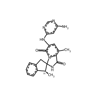 Cc1cc(Nc2cc(N)ncn2)c(=O)n2c1C(=O)NC21Cc2ccccc2[C@@H]1C